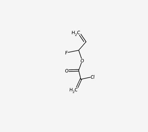 C=CC(F)OC(=O)C(=C)Cl